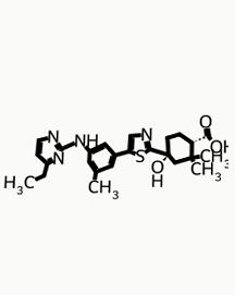 CCc1ccnc(Nc2cc(C)cc(-c3cnc([C@@]4(O)CC[C@H](C(=O)O)C(C)(C)C4)s3)c2)n1